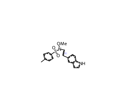 CON(/C=C/c1ccc2[nH]ccc2c1)S(=O)(=O)c1ccc(C)cc1